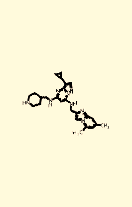 Cc1cc(C)n2cc(CNc3cc(NCC4CCNCC4)nc4c(C5CC5)cnn34)nc2c1